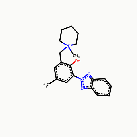 Cc1cc(C[N+]2(C)CCCCC2)c(O)c(-n2nc3ccccc3n2)c1